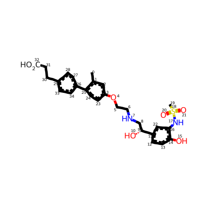 Cc1cc(OCCNC[C@@H](O)c2ccc(O)c(NS(C)(=O)=O)c2)ccc1-c1ccc(CCC(=O)O)cc1